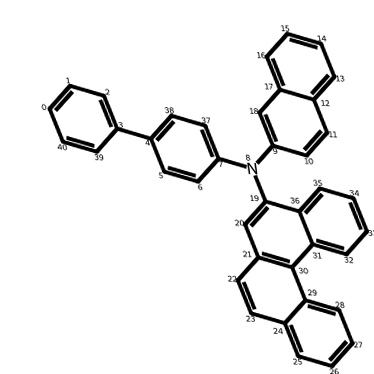 c1ccc(-c2ccc(N(c3ccc4ccccc4c3)c3cc4ccc5ccccc5c4c4ccccc34)cc2)cc1